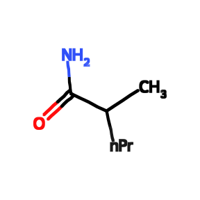 CCCC(C)C(N)=O